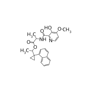 COc1ccnc(C(=O)NC(C)C(=O)OC(C)C2(c3cccc4ccccc34)CC2)c1O